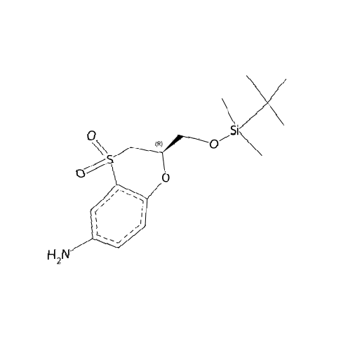 CC(C)(C)[Si](C)(C)OC[C@@H]1CS(=O)(=O)c2cc(N)ccc2O1